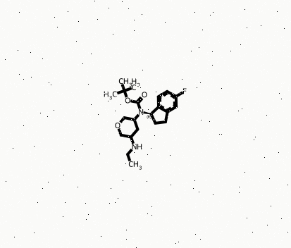 CCNC1COCC(N(C(=O)OC(C)(C)C)[C@@H]2CCc3cc(F)ccc32)C1